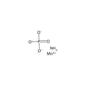 N.O=P([O-])([O-])[O-].[Mn+3]